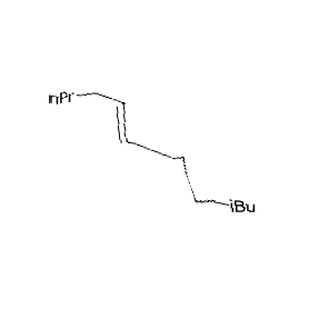 CCCC=CCCC(C)CC